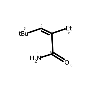 CCC(=CC(C)(C)C)C(N)=O